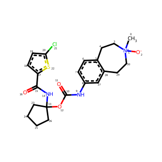 C[N+]1([O-])CCc2ccc(NC(=O)OC3(NC(=O)c4ccc(Cl)s4)CCCC3)cc2CC1